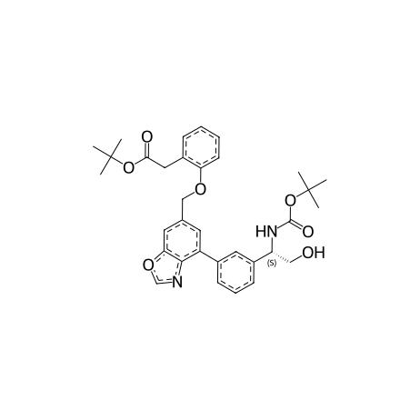 CC(C)(C)OC(=O)Cc1ccccc1OCc1cc(-c2cccc([C@@H](CO)NC(=O)OC(C)(C)C)c2)c2ncoc2c1